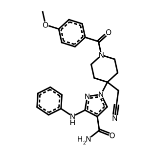 COc1ccc(C(=O)N2CCC(CC#N)(n3cc(C(N)=O)c(Nc4ccccc4)n3)CC2)cc1